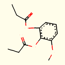 CCC(=O)Oc1cccc(OC)c1OC(=O)CC